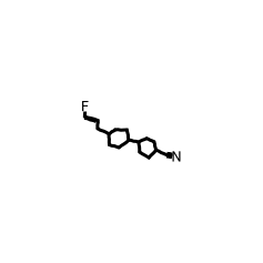 N#CC1CCC(C2CCC(CC=CF)CC2)CC1